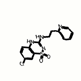 O=S1(=O)N=C(NCCc2ccccn2)Nc2ccc(Cl)cc21